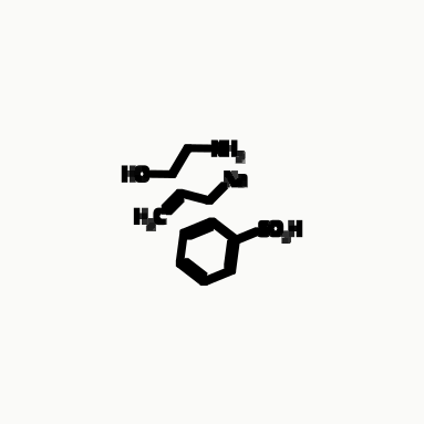 C=C[CH2][Na].NCCO.O=S(=O)(O)c1ccccc1